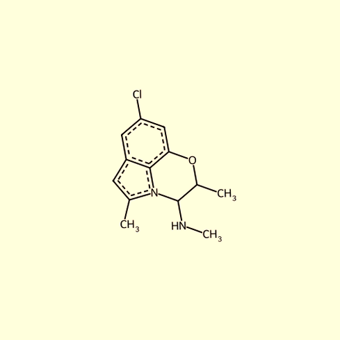 CNC1C(C)Oc2cc(Cl)cc3cc(C)n1c23